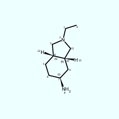 CCN1C[C@H]2CC[C@H](N)C[C@H]2C1